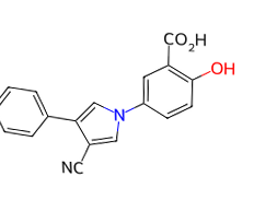 N#Cc1cn(-c2ccc(O)c(C(=O)O)c2)cc1-c1ccccc1